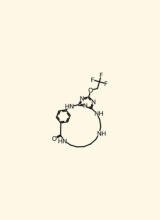 O=C1NCCCCCNCCNc2nc(nc(OCC(F)(F)F)n2)Nc2ccc1cc2